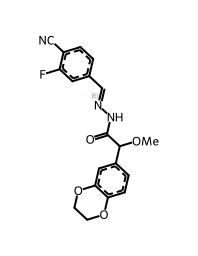 COC(C(=O)N/N=C/c1ccc(C#N)c(F)c1)c1ccc2c(c1)OCCO2